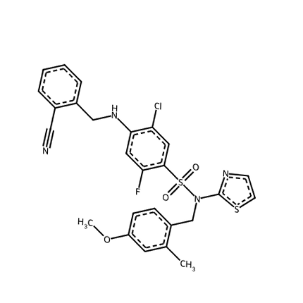 COc1ccc(CN(c2nccs2)S(=O)(=O)c2cc(Cl)c(NCc3ccccc3C#N)cc2F)c(C)c1